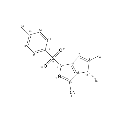 CC1=Cc2c(c(C#N)nn2S(=O)(=O)c2ccc(C)cc2)[C@H]1C